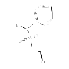 CCN(c1ccccc1)S(=O)(=O)CCCl